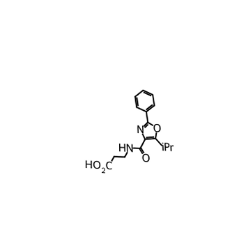 CC(C)c1oc(-c2ccccc2)nc1C(=O)NCCC(=O)O